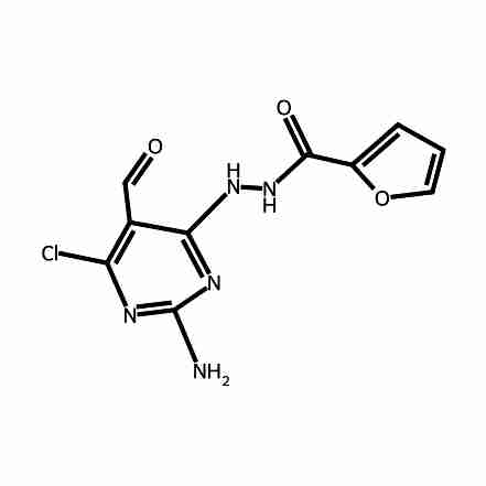 Nc1nc(Cl)c(C=O)c(NNC(=O)c2ccco2)n1